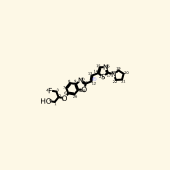 OCC(CF)Oc1ccc2nc(/C=C/c3cnc(N4CCCC4)s3)oc2c1